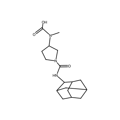 CN(C(=O)O)C1CCN(C(=O)NC2C3CC4CC(C3)CC2C4)C1